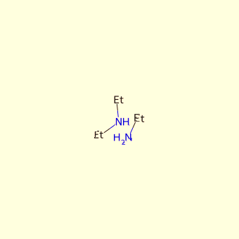 CCN.CCNCC